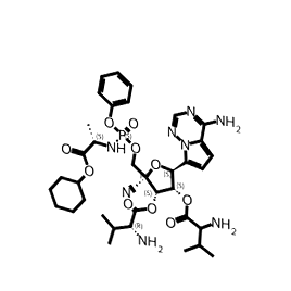 CC(C)C(N)C(=O)O[C@H]1[C@H](c2ccc3c(N)ncnn23)O[C@](C#N)(CO[P@@](=O)(N[C@@H](C)C(=O)OC2CCCCC2)Oc2ccccc2)[C@H]1OC(=O)[C@H](N)C(C)C